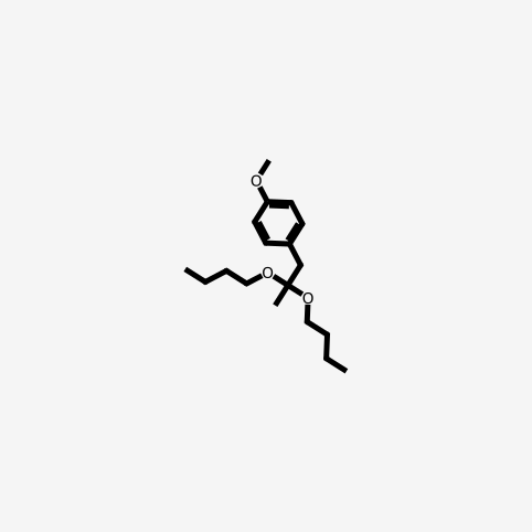 CCCCOC(C)(Cc1ccc(OC)cc1)OCCCC